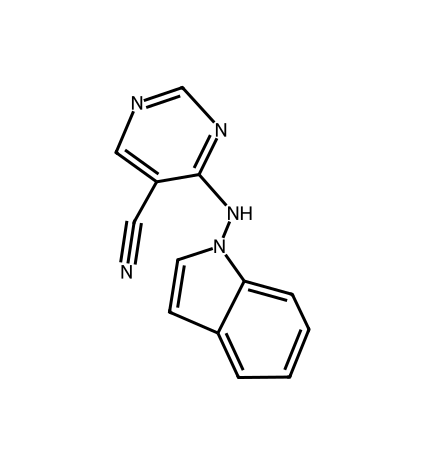 N#Cc1cncnc1Nn1ccc2ccccc21